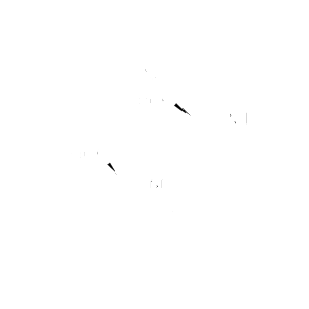 O=C([O-])[C@@H]1CCCN1.O=C([O-])[C@@H]1CCCN1.[Pd+2]